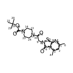 Cc1cc(C)c2c(=O)n(CC(=O)N3CCN(C(=O)OC(C)(C)C)CC3)sc2n1